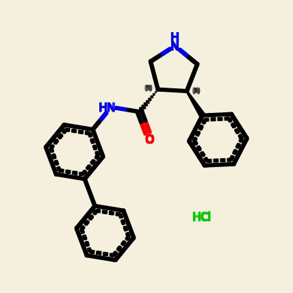 Cl.O=C(Nc1cccc(-c2ccccc2)c1)[C@@H]1CNC[C@H]1c1ccccc1